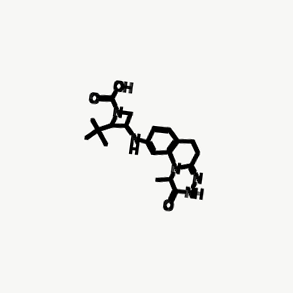 CC1C(=O)NN=C2CCc3ccc(NC4CN(C(=O)O)C4C(C)(C)C)cc3N21